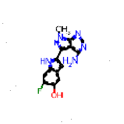 Cn1nc(-c2cc3cc(O)c(F)cc3[nH]2)c2c(N)ncnc21